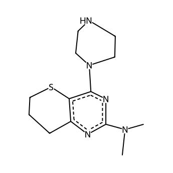 CN(C)c1nc2c(c(N3CCNCC3)n1)SCCC2